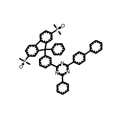 CP(C)(=O)c1ccc2c(c1)C(c1ccccc1)(c1cccc(-c3nc(-c4ccccc4)nc(-c4ccc(-c5ccccc5)cc4)n3)c1)c1cc(P(C)(C)=O)ccc1-2